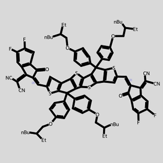 CCCCC(CC)COc1ccc(C2(c3ccc(OCC(CC)CCCC)cc3)c3sc(/C=C4\C(=O)c5cc(F)c(F)cc5C4=C(C#N)C#N)cc3-c3sc4c5c(sc4c32)-c2cc(/C=C3\C(=O)c4cc(F)c(F)cc4C3=C(C#N)C#N)sc2C5(c2ccc(OCC(CC)CCCC)cc2)c2ccc(OCC(CC)CCCC)cc2)cc1